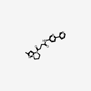 Cc1cc2n(n1)CCCN2C(=O)CCC(=O)Nc1ccc(-c2cccnc2)nc1